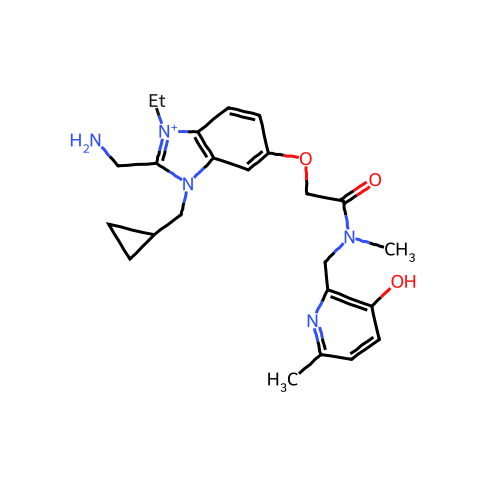 CC[n+]1c(CN)n(CC2CC2)c2cc(OCC(=O)N(C)Cc3nc(C)ccc3O)ccc21